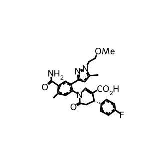 COCCn1nc(-c2cc(C(N)=O)c(C)cc2N2C=C(C(=O)O)[C@H](c3ccc(F)cc3)CC2=O)cc1C